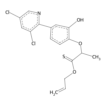 C=CCOC(=S)C(C)Oc1ccc(-c2ncc(Cl)cc2Cl)cc1O